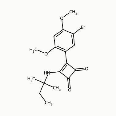 CCC(C)(C)Nc1c(-c2cc(Br)c(OC)cc2OC)c(=O)c1=O